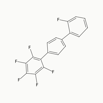 Fc1ccccc1-c1ccc(-c2c(F)c(F)c(F)c(F)c2F)cc1